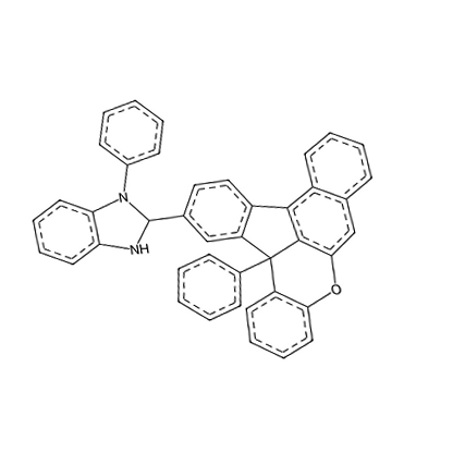 c1ccc(N2c3ccccc3NC2c2ccc3c(c2)C2(c4ccccc4)c4ccccc4Oc4cc5ccccc5c-3c42)cc1